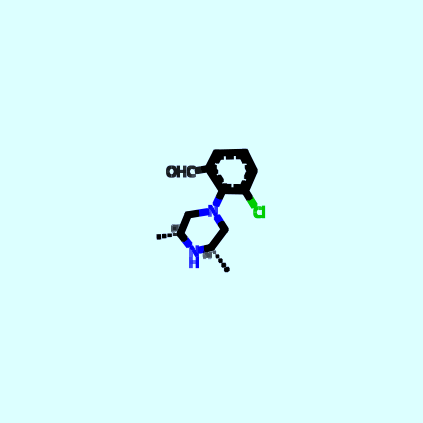 C[C@@H]1CN(c2c(Cl)cccc2C=O)C[C@H](C)N1